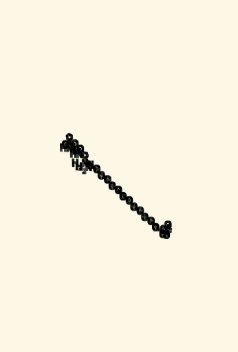 N/C(=C\N(N)CCOCCOCCOCCOCCOCCOCCOCCOCCOCCOCCOCCOCCC(=O)ON1C(=O)CCC1=O)c1cccc(NC(=O)N2CCC3(C2)NC(=O)N(c2ccccc2)C3=O)c1